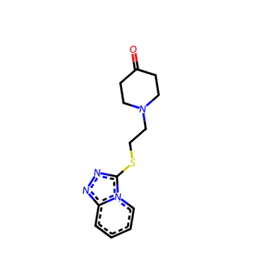 O=C1CCN(CCSc2nnc3ccccn23)CC1